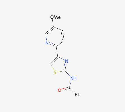 CCC(=O)Nc1nc(-c2ccc(OC)cn2)cs1